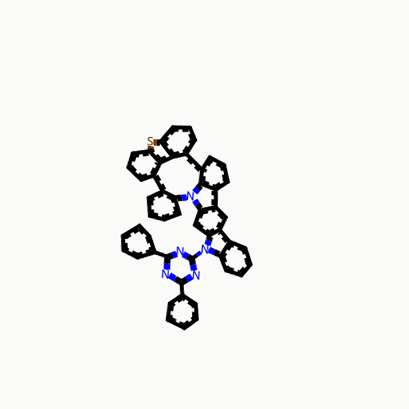 c1ccc(-c2nc(-c3ccccc3)nc(-n3c4ccccc4c4cc5c6cccc7c8cccc9sc%10cccc(c%11ccccc%11n(c5cc43)c76)c%10c98)n2)cc1